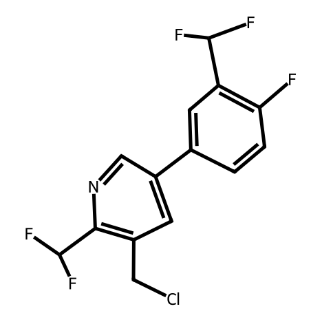 Fc1ccc(-c2cnc(C(F)F)c(CCl)c2)cc1C(F)F